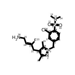 Cc1nn(Cc2ccc(S(=O)(=O)N(C)C)c(Cl)c2)c(C)c1C/C(F)=C/CN